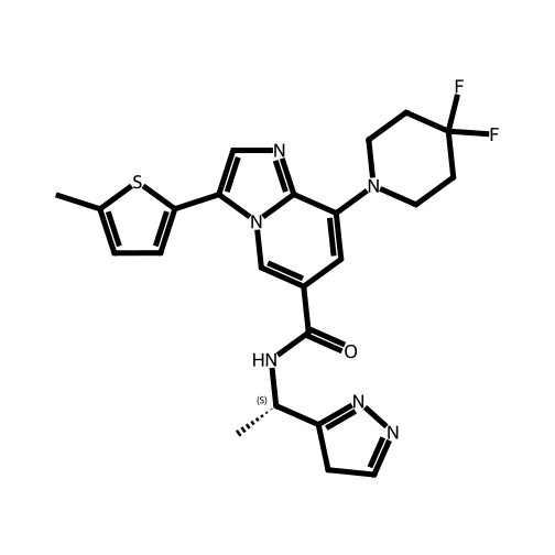 Cc1ccc(-c2cnc3c(N4CCC(F)(F)CC4)cc(C(=O)N[C@@H](C)C4=NN=CC4)cn23)s1